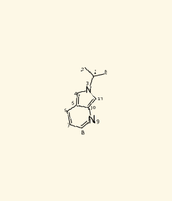 CC(C)n1cc2cccnc2c1